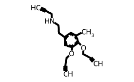 C#CCNCCc1cc(C)c(OCC#C)c(OCC#C)c1